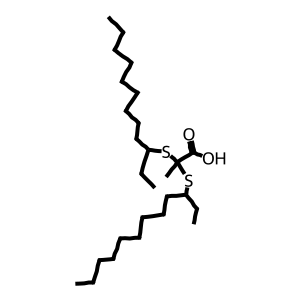 CCCCCCCCCC(CC)SC(C)(SC(CC)CCCCCCCCC)C(=O)O